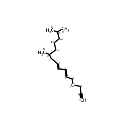 C#CCOCC=CC=CCC(C)CCCC(C)C